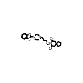 O=C1CC2(CCCC2)CC(=O)N1OCCCN1CCN(c2nc3ccccc3s2)CC1